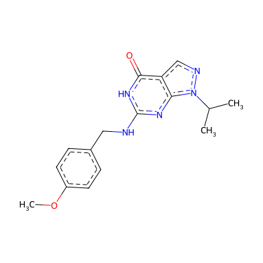 COc1ccc(CNc2nc3c(cnn3C(C)C)c(=O)[nH]2)cc1